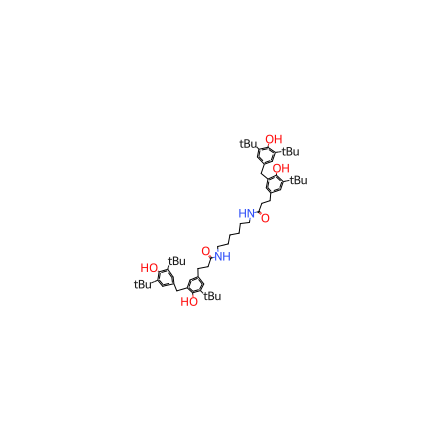 CC(C)(C)c1cc(CCC(=O)NCCCCCCNC(=O)CCc2cc(Cc3cc(C(C)(C)C)c(O)c(C(C)(C)C)c3)c(O)c(C(C)(C)C)c2)cc(Cc2cc(C(C)(C)C)c(O)c(C(C)(C)C)c2)c1O